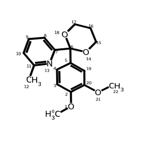 COc1ccc(C2(c3cccc(C)n3)OCCCO2)cc1OC